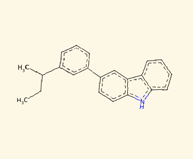 CCC(C)c1cccc(-c2ccc3[nH]c4ccccc4c3c2)c1